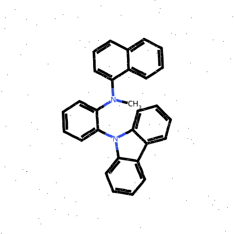 CN(c1ccccc1-n1c2ccccc2c2ccccc21)c1cccc2ccccc12